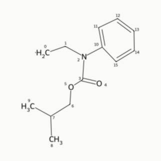 [CH2]CN(C(=O)OCC(C)C)c1ccccc1